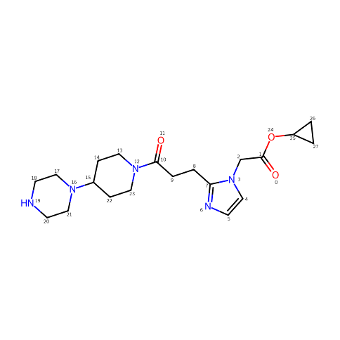 O=C(Cn1ccnc1CCC(=O)N1CCC(N2CCNCC2)CC1)OC1CC1